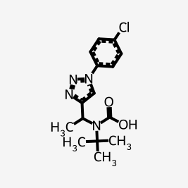 CC(c1cn(-c2ccc(Cl)cc2)nn1)N(C(=O)O)C(C)(C)C